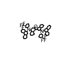 FC(F)(F)c1cccc(N(c2cc3ccccc3c3ccccc23)c2cc3c(oc4cc(N(c5cccc(C(F)(F)F)c5)c5cc6ccccc6c6ccccc56)c5ccccc5c43)c3ccccc23)c1